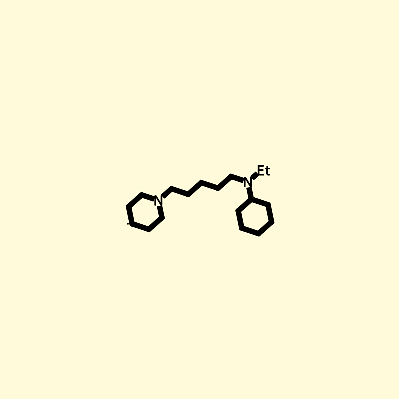 CCN(CCCCCN1CC[CH]CC1)C1CCCCC1